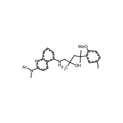 COc1ccc(F)cc1C(C)(C)CC(O)(CNc1cccc2nc(N(C)C(C)=O)ccc12)C(F)(F)F